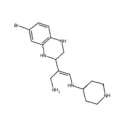 NC/C(=C\NC1CCNCC1)C1CNc2ccc(Br)cc2N1